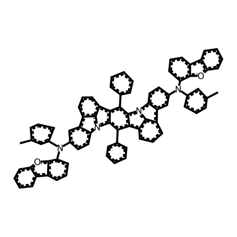 Cc1cccc(N(c2ccc3c(c2)c2cccc4c5c(-c6ccccc6)c6c(c(-c7ccccc7)c5n3c24)c2cccc3c4cc(N(c5cccc(C)c5)c5cccc7c5oc5ccccc57)ccc4n6c32)c2cccc3c2oc2ccccc23)c1